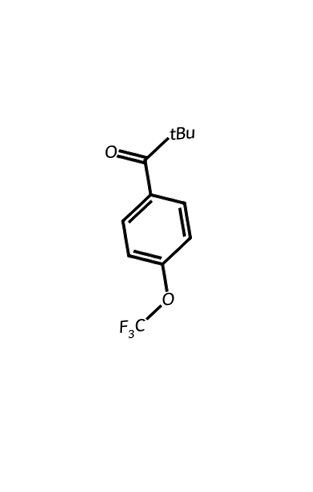 CC(C)(C)C(=O)c1ccc(OC(F)(F)F)cc1